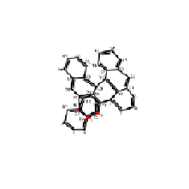 c1ccc2cc(-c3cccc4cc5ccccc5c(-c5c6ccccc6cc6ccccc56)c34)ccc2c1